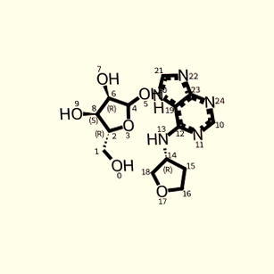 OC[C@H]1OC(O)[C@H](O)[C@@H]1O.c1nc(N[C@@H]2CCOC2)c2[nH]cnc2n1